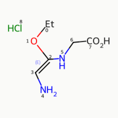 CCO/C(=C/N)NCC(=O)O.Cl